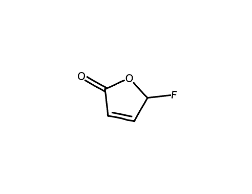 O=C1C=CC(F)O1